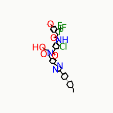 CC[C@H]1CC[C@H](C2CC=C(c3cnc(-c4ccc(CN(CC(=O)O)C(=O)c5ccc(NC(=O)Cc6ccc(OC)cc6C(F)(F)F)c(Cl)c5)cc4)nc3)CC2)CC1